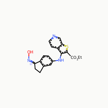 CCOC(=O)c1sc2cnccc2c1Nc1ccc2c(c1)CC/C2=N/O